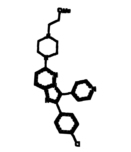 COCCN1CCN(c2ccc3nc(-c4ccc(Cl)cc4)c(-c4ccncc4)n3n2)CC1